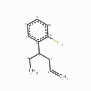 C=CCC(CC)c1ccccc1F